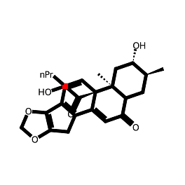 CCCC1=C[C@@]2(C(=O)CO)C(=CC(=O)C3C[C@H](C)[C@@H](O)C[C@@]32C)C2=C1C1=C(C2)OCO1